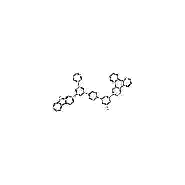 Fc1cc(-c2ccc(-c3cc(-c4ccccc4)cc(-c4ccc5c(c4)sc4ccccc45)c3)cc2)cc(-c2ccc3c4ccccc4c4ccccc4c3c2)c1